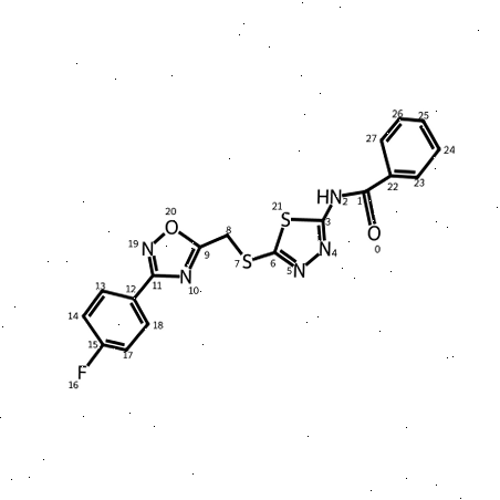 O=C(Nc1nnc(SCc2nc(-c3ccc(F)cc3)no2)s1)c1ccccc1